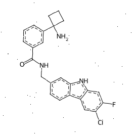 NC1(c2cccc(C(=O)NCc3ccc4c(c3)[nH]c3cc(F)c(Cl)cc34)c2)CCC1